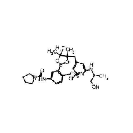 Cc1ccc(NC(=O)N2CCCC2)cc1B1OC(C)(C)C(C)(Cc2cc(Cl)nc(N[C@@H](C)CO)c2)O1